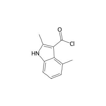 Cc1[nH]c2cccc(C)c2c1C(=O)Cl